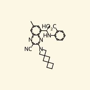 Cc1cc([C@@H](C)Nc2ccccc2C(=O)O)c2nc(N3CC4(C3)CC3(CCC3)C4)c(C#N)nc2c1